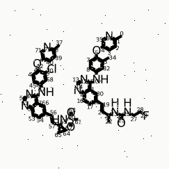 Cc1ccc(Oc2ccc(Nc3ncnc4ccc(C=CC(C)NC(=O)NCCF)cc34)cc2C)cn1.Cc1ccc(Oc2ccc(Nc3ncnc4ccc(C=CC5(NS(C)(=O)=O)CC5)cc34)cc2Cl)cn1